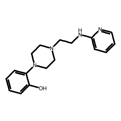 Oc1ccccc1N1CCN(CCNc2ccccn2)CC1